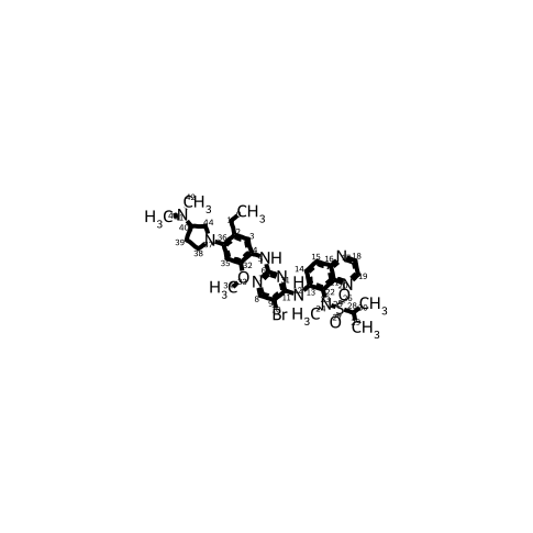 CCc1cc(Nc2ncc(Br)c(Nc3ccc4nccnc4c3N(C)S(=O)(=O)C(C)C)n2)c(OC)cc1N1CCC(N(C)C)C1